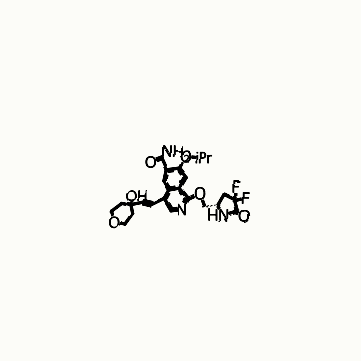 CC(C)Oc1cc2c(OC[C@@H]3CC(F)(F)C(=O)N3)ncc(C#CC3(O)CCOCC3)c2cc1C(N)=O